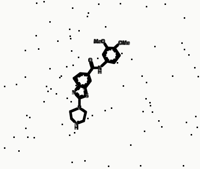 COc1ccc(NC(=O)c2ccc3nc(N4CCNCC4)sc3c2)cc1OC